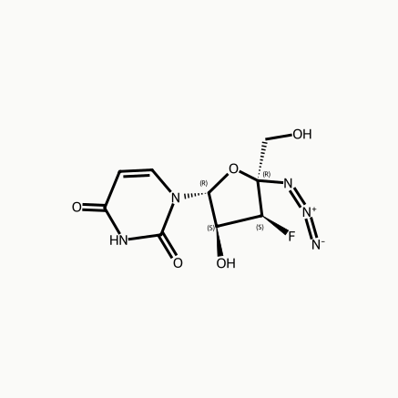 [N-]=[N+]=N[C@]1(CO)O[C@@H](n2ccc(=O)[nH]c2=O)[C@H](O)[C@@H]1F